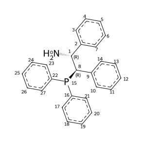 N[C@H](c1ccccc1)[C@@H](c1ccccc1)P(c1ccccc1)c1ccccc1